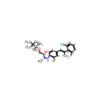 C/C(=C\c1ccc(N[C@H](C)[C@@H](O)CO[Si](C)(C)C(C)(C)C)c(F)c1)c1c(F)cccc1Cl